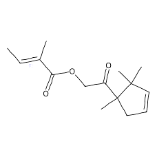 C/C=C(\C)C(=O)OCC(=O)C1(C)CC=CC1(C)C